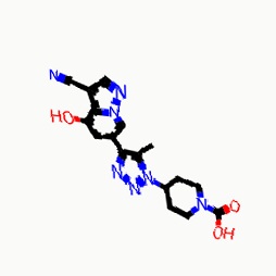 Cc1c(-c2cc(O)c3c(C#N)cnn3c2)nnn1C1CCN(C(=O)O)CC1